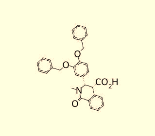 CN1C(=O)c2ccccc2[C@@H](C(=O)O)[C@H]1c1ccc(OCc2ccccc2)c(OCc2ccccc2)c1